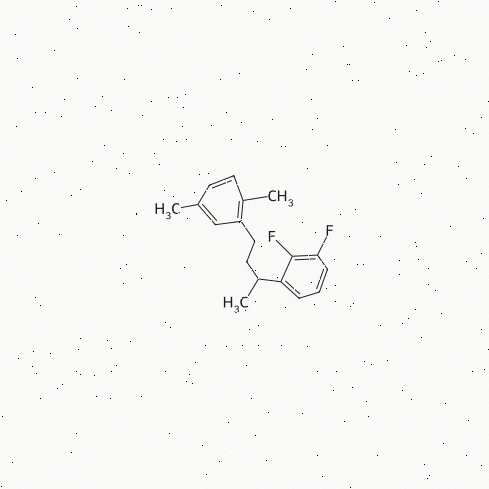 Cc1ccc(C)c(CCC(C)c2cccc(F)c2F)c1